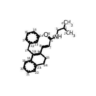 CC(C)CNC(=O)C=CC1=C(Cc2ccccc2)c2ccccc2CC1